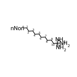 CCCCCCCCCCCCCCCCCCCC(N)(N)N